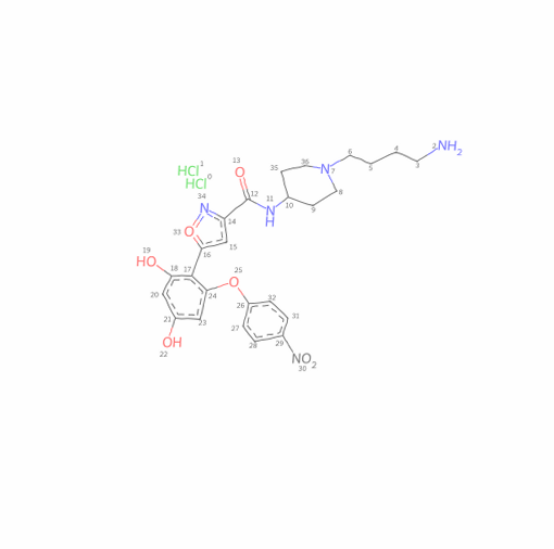 Cl.Cl.NCCCCN1CCC(NC(=O)c2cc(-c3c(O)cc(O)cc3Oc3ccc([N+](=O)[O-])cc3)on2)CC1